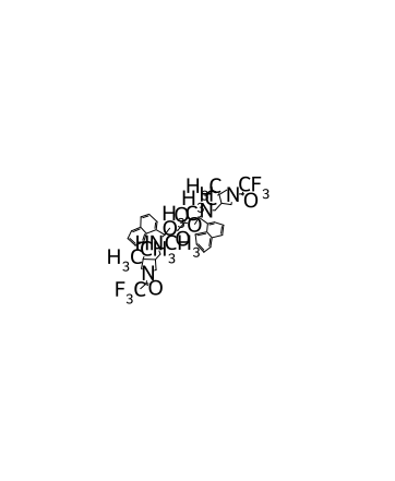 CC1(C)CN(C(=O)C(F)(F)F)CC1CN[C@](C)(OC(=O)C(=O)O[C@@](C)(NCC1CN(C(=O)C(F)(F)F)CC1(C)C)c1cccc2ccccc12)c1cccc2ccccc12